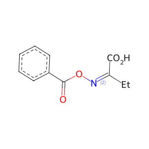 CC/C(=N/OC(=O)c1ccccc1)C(=O)O